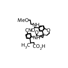 COCCNC(=O)c1ccc2c(c1)[C@]1(CCO2)C[C@H]1C(=O)Nc1cc(C#N)ccc1C(C)CC(=O)O